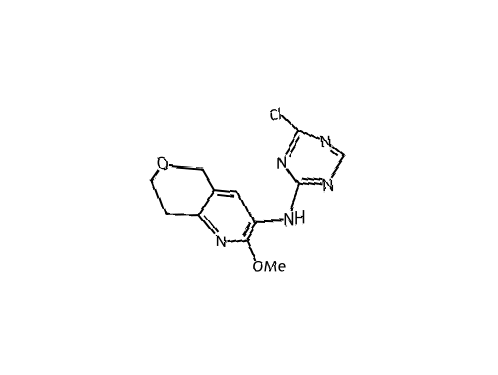 COc1nc2c(cc1Nc1ncnc(Cl)n1)COCC2